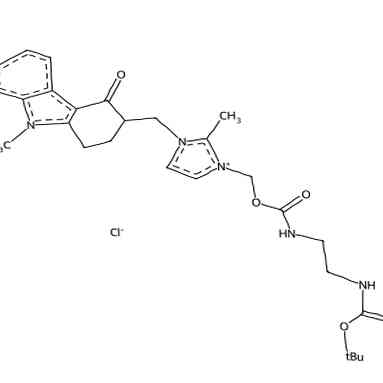 Cc1n(CC2CCc3c(c4ccccc4n3C)C2=O)cc[n+]1COC(=O)NCCNC(=O)OC(C)(C)C.[Cl-]